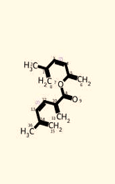 C=C(C)/C=C\C(=C)OC(=O)C(=C)/C=C\C(=C)C